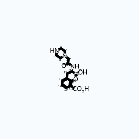 O=C(CN1CCNCC1)N[C@H]1Cc2cccc(C(=O)O)c2OB1O